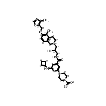 CCC(=O)N1CCN(c2cc(C(=O)NCC(O)CN3CCc4c(ccc(OCc5ocnc5C)c4C)C3)cc(NC3CCC3)n2)CC1